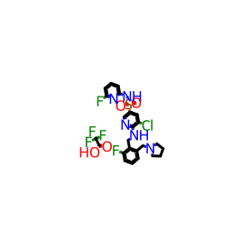 O=C(O)C(F)(F)F.O=S(=O)(Nc1cccc(F)n1)c1cnc(NCc2c(F)cccc2CN2CCCC2)c(Cl)c1